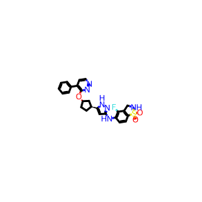 O=S1(=O)NCc2c1ccc(Nc1cc([C@H]3CC[C@@H](Oc4nnccc4-c4ccccc4)C3)[nH]n1)c2F